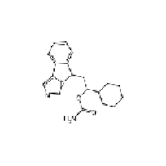 NC(=O)OC(CC1c2ccccc2-c2cncn21)C1CCCCC1